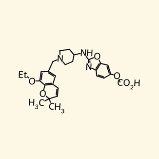 CCOc1cc(CN2CCC(Nc3nc4ccc(OC(=O)O)cc4o3)CC2)cc2c1OC(C)(C)C=C2